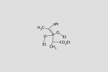 CCCC(C)=P(OCC)(OCC)C(C)C(=O)OCC